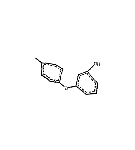 Oc1cccc(Oc2ccc(I)cc2)c1